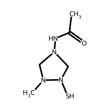 CC(=O)NN1CN(C)N(S)C1